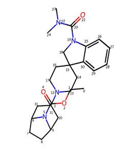 CCOC(=O)N1C2CCC1CC(N1CCC3(CC1)CN(C(=O)N(C)C)c1ccccc13)C2